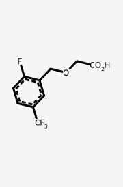 O=C(O)COCc1cc(C(F)(F)F)ccc1F